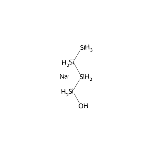 O[SiH2][SiH2][SiH2][SiH3].[Na]